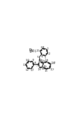 [Br-].c1ccc(Cn2c(-c3ccccc3)c[n+]3ccccc23)cc1